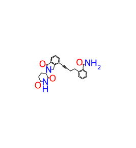 NC(=O)c1ccccc1CCC#Cc1cccc2c1CN(C1CCC(=O)NC1=O)C2=O